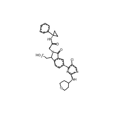 O=C(O)CC1c2ccc(-c3nc(NC4CCOCC4)ncc3Cl)cc2C(=O)N1CC(=O)NC1(c2ccccc2)CC1